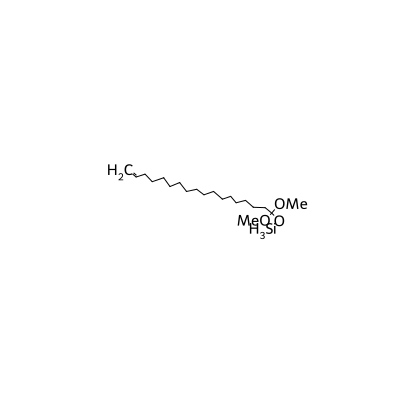 C=CCCCCCCCCCCCCCCCC(OC)(OC)O[SiH3]